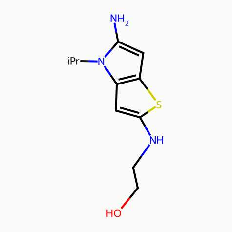 CC(C)n1c(N)cc2sc(NCCO)cc21